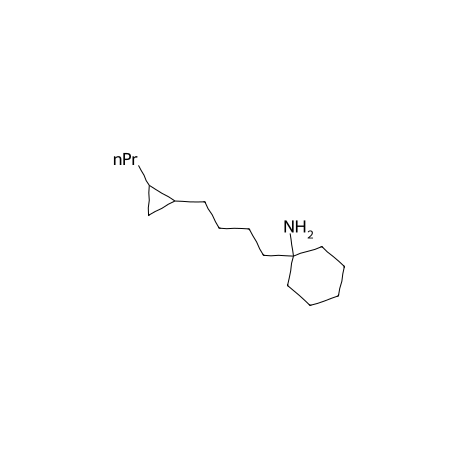 CCCC1CC1CCCCC1(N)CCCCC1